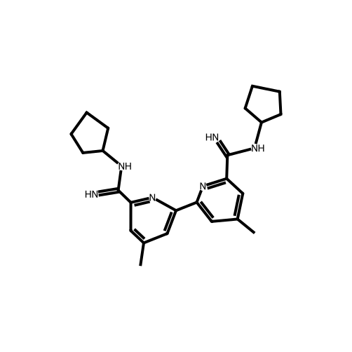 Cc1cc(C(=N)NC2CCCC2)nc(-c2cc(C)cc(C(=N)NC3CCCC3)n2)c1